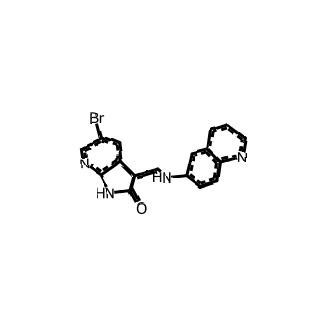 O=C1Nc2ncc(Br)cc2/C1=C/Nc1ccc2ncccc2c1